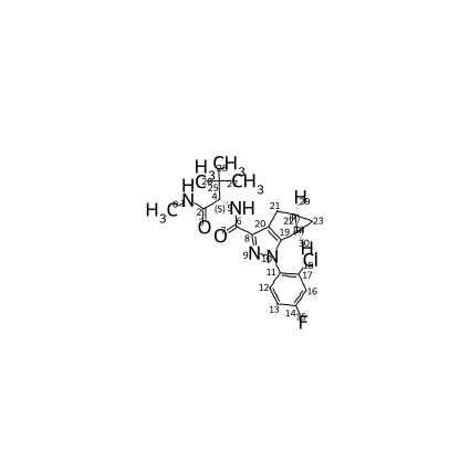 CNC(=O)[C@@H](NC(=O)c1nn(-c2ccc(F)cc2Cl)c2c1C[C@H]1C[C@@H]21)C(C)(C)C